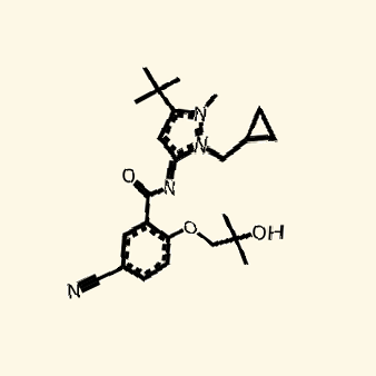 Cn1c(C(C)(C)C)cc(=NC(=O)c2cc(C#N)ccc2OCC(C)(C)O)n1CC1CC1